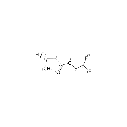 CC(C)CC(=O)OCC(F)F